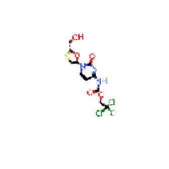 O=C(Nc1ccn(C2CS[C@H](CO)O2)c(=O)n1)OCC(Cl)(Cl)Cl